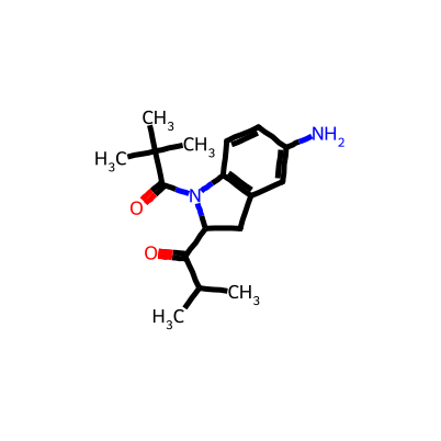 CC(C)C(=O)C1Cc2cc(N)ccc2N1C(=O)C(C)(C)C